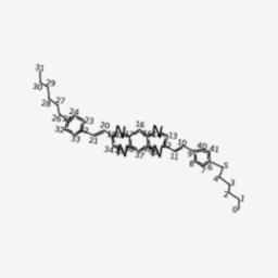 CCCCCCc1ccc(/C=C/c2cnc3cc4nc(/C=C/c5ccc(CCCCCC)cc5)cnc4cc3n2)cc1